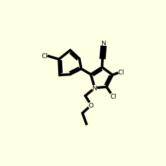 CCOCn1c(Cl)c(Cl)c(C#N)c1-c1ccc(Cl)cc1